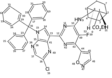 CCOC(=O)[C@H]1C2CCC(CC2)[C@@H]1Nc1nc(-c2cn(C(c3ccccc3)(c3ccccc3)c3ccccc3)c3ncc(Cl)nc23)nc(-c2ccno2)c1F